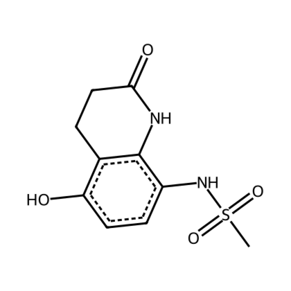 CS(=O)(=O)Nc1ccc(O)c2c1NC(=O)CC2